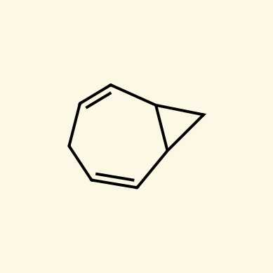 C1=CC2CC2C=CC1